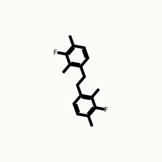 Cc1ccc(CCc2ccc(C)c(F)c2C)c(C)c1F